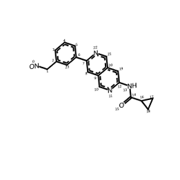 O=NCc1cccc(-c2cc3cnc(NC(=O)C4CC4)cc3cn2)c1